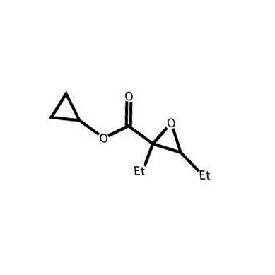 CCC1OC1(CC)C(=O)OC1CC1